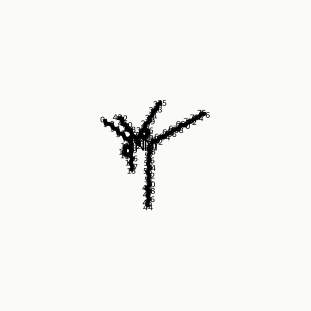 CCCCCCCCC1=C(c2cccc(CCCC)c2)[N+](=[N-])C(c2cccc(CCCCCCCC)c2)=C1CCCCCC.CCCCCCCCCCCCCCC[CH2][Ni][CH2]CCCCCCCCCCCCCCC